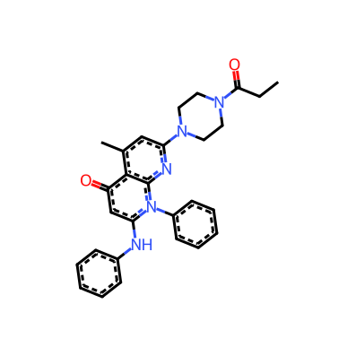 CCC(=O)N1CCN(c2cc(C)c3c(=O)cc(Nc4ccccc4)n(-c4ccccc4)c3n2)CC1